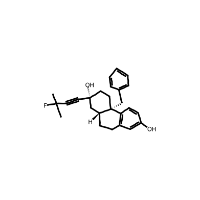 CC(C)(F)C#C[C@@]1(O)CC[C@@]2(Cc3ccccc3)c3ccc(O)cc3CC[C@@H]2C1